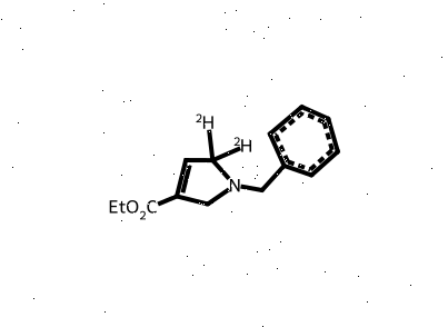 [2H]C1([2H])C=C(C(=O)OCC)CN1Cc1ccccc1